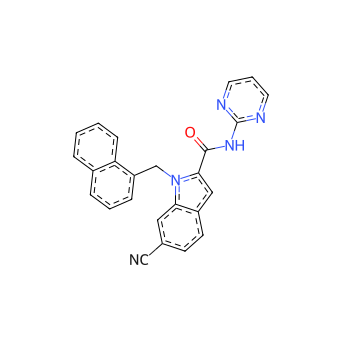 N#Cc1ccc2cc(C(=O)Nc3ncccn3)n(Cc3cccc4ccccc34)c2c1